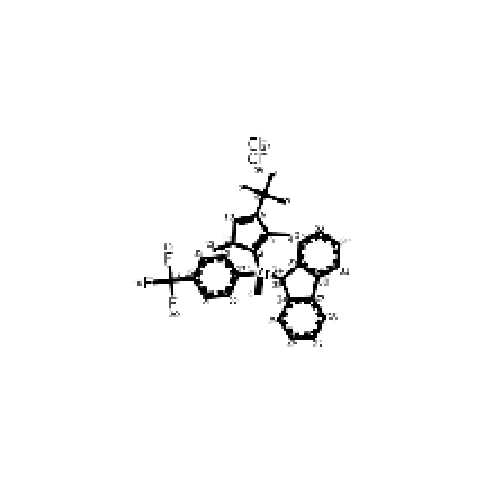 [CH2]=[Zr+2]([C]1=C(C)C(C(C)(C)C)=CC1C)([c]1ccc(C(F)(F)F)cc1)[CH]1c2ccccc2-c2ccccc21.[Cl-].[Cl-]